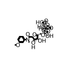 COc1cccc(N(C)C(=O)C2O[C@H](COP(=O)(O)OP(=O)(O)OP(=O)(O)O)[C@@H](O)[C@H]2O)c1